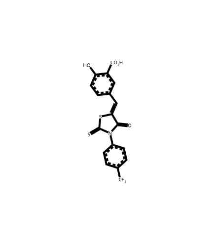 O=C(O)c1cc(/C=C2\SC(=S)N(c3ccc(C(F)(F)F)cc3)C2=O)ccc1O